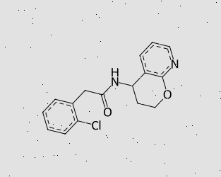 O=C(Cc1ccccc1Cl)NC1CCOc2ncccc21